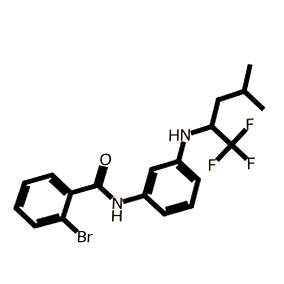 CC(C)CC(Nc1cccc(NC(=O)c2ccccc2Br)c1)C(F)(F)F